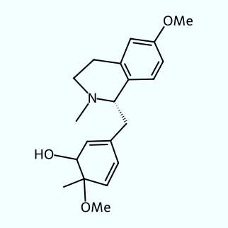 COc1ccc2c(c1)CCN(C)[C@H]2CC1=CC(O)C(C)(OC)C=C1